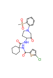 CS(=O)(=O)c1ccccc1N1CCC(NC(=O)C2(NC(=O)c3ccc(Cl)s3)CCCCC2)C(=O)C1